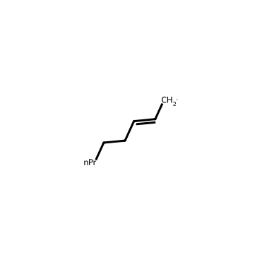 [CH]CCCCC=C[CH2]